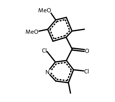 COc1cc(C)c(C(=O)c2c(Cl)ncc(C)c2Cl)cc1OC